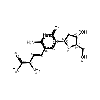 Nc1nc(=O)n([C@H]2C[C@H](O)[C@@H](CO)O2)cc1C=CC(N)C(=O)C(F)(F)F